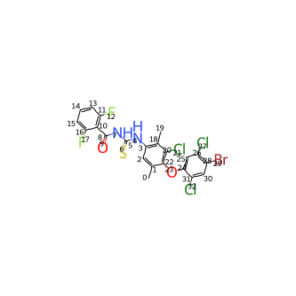 Cc1cc(NC(=S)NC(=O)c2c(F)cccc2F)c(C)c(Cl)c1Oc1cc(Cl)c(Br)cc1Cl